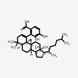 CC(C)CCC[C@@H](C)[C@H]1CC[C@@]2(C)[C@@H]3CC[C@H]4C(C)(C)CC=C(c5c(C(=O)O)ccc(O)c5O)[C@@]45C[C@@]35CC[C@]12C